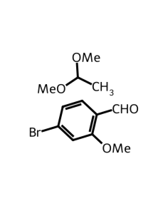 COC(C)OC.COc1cc(Br)ccc1C=O